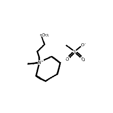 CCCCCCCCCC[N+]1(C)CCCCC1.CS(=O)(=O)[O-]